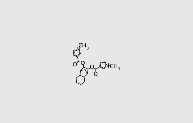 Cn1ccc(C(=O)OC2C3CC(C4CCCCC43)C2OC(=O)c2ccn(C)c2)c1